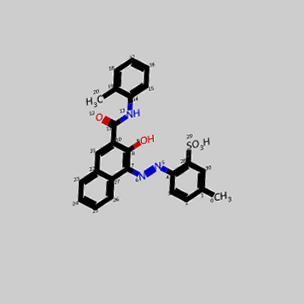 Cc1ccc(/N=N/c2c(O)c(C(=O)Nc3ccccc3C)cc3ccccc23)c(S(=O)(=O)O)c1